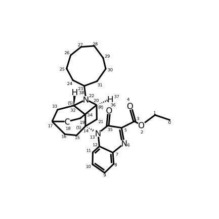 CCOC(=O)c1nc2ccccc2n([C@@]23CCC4CC[C@H](C2)N(C2CCCCCCCC2)[C@@H](C4)C3)c1=O